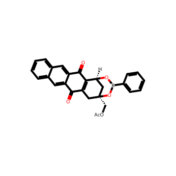 CC(=O)OC[C@]12CC3=C(C(=O)c4cc5ccccc5cc4C3=O)[C@H](C1)OB(c1ccccc1)O2